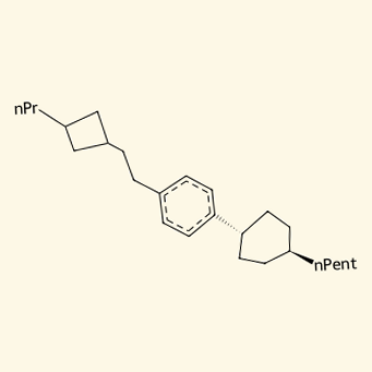 CCCCC[C@H]1CC[C@H](c2ccc(CCC3CC(CCC)C3)cc2)CC1